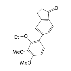 [CH2]COc1c(-c2ccc3c(c2)CCC3=O)ccc(OC)c1OC